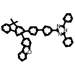 CC1(C)c2ccccc2-c2cc(-c3ccc4oc5ccccc5c4c3)c(-c3ccc(-c4ccc(-c5nc(-c6ccccc6)nc(-c6ccccc6)n5)cc4)cc3)cc21